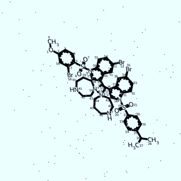 COc1ccc(S(=O)(=O)n2cc(C[N+]3([N+]4(Cc5cn(S(=O)(=O)c6ccc(C(C)C)cc6)c6ccc(Br)cc56)CCCNCC4)CCCNCC3)c3cc(Br)ccc32)c(Br)c1